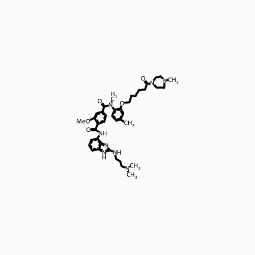 COc1cc(C(=O)N(C)c2ccc(C)cc2OCCCCCC(=O)N2CCN(C)CC2)ccc1C(=O)Nc1cccc2[nH]c(NCCCN(C)C)nc12